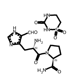 NC(=O)[C@@H]1CCCN1C(=O)[C@@H](N)Cc1nc[nH]c1C=O.O=C1NCCS(=O)(=O)N1